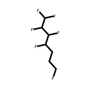 FCCCC(F)C(F)C(F)C(F)I